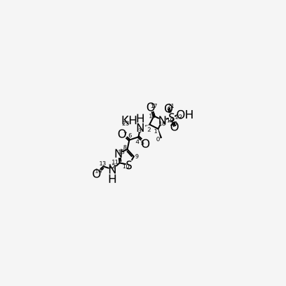 C[C@H]1[C@H](NC(=O)C(=O)c2csc(NC=O)n2)C(=O)N1S(=O)(=O)O.[KH]